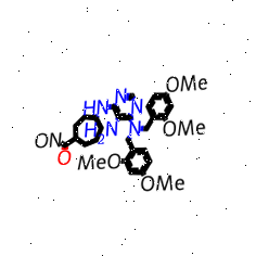 COc1ccc(CN(Cc2ccc(OC)cc2OC)c2ncnc(NC3CCCC(C(=O)N=O)CC3)c2N)c(OC)c1